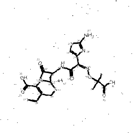 CC(C)(O/N=C(\C(=O)NC1C(=O)N2C(C(=O)O)=C(CI)CS[C@H]12)c1csc(N)n1)C(=O)O